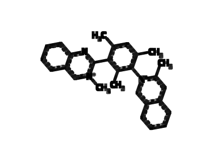 Cc1cc(C)c(-[n+]2cc3ccccc3cc2C)c(C)c1-c1nc2ccccc2c[n+]1C